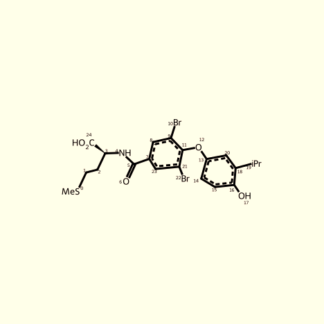 CSCC[C@H](NC(=O)c1cc(Br)c(Oc2ccc(O)c(C(C)C)c2)c(Br)c1)C(=O)O